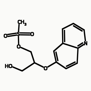 CS(=O)(=O)OCC(CO)Oc1ccc2ncccc2c1